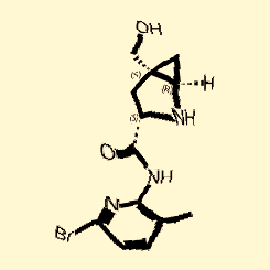 Cc1ccc(Br)nc1NC(=O)[C@@H]1C[C@@]2(CO)C[C@H]2N1